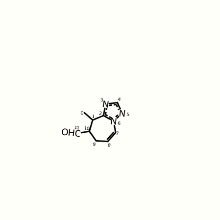 CC1c2ncnn2C=CCC1C=O